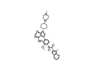 COc1cc(-c2cn([C@H]3CC[C@H](N4CCN(C)CC4)CC3)c3ncnc(N)c23)ccc1NC(=O)c1cc2ccccc2n1C